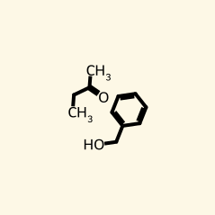 CCC(C)=O.OCc1ccccc1